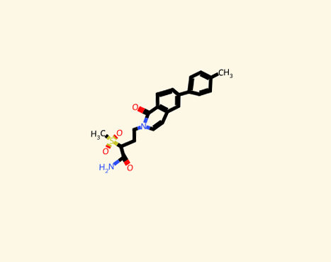 Cc1ccc(-c2ccc3c(=O)n(CCC(C(N)=O)S(C)(=O)=O)ccc3c2)cc1